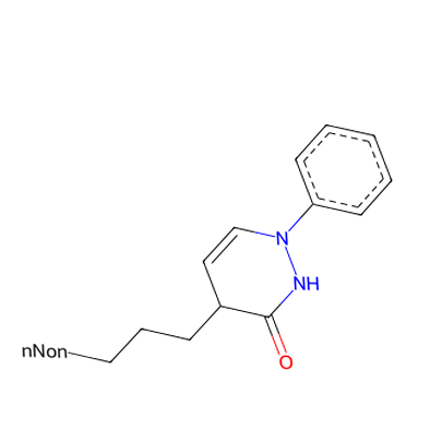 CCCCCCCCCCCCC1C=CN(c2ccccc2)NC1=O